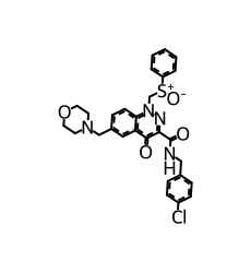 O=C(NCc1ccc(Cl)cc1)c1nn(C[S+]([O-])c2ccccc2)c2ccc(CN3CCOCC3)cc2c1=O